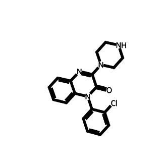 O=c1c(N2CCNCC2)nc2ccccc2n1-c1ccccc1Cl